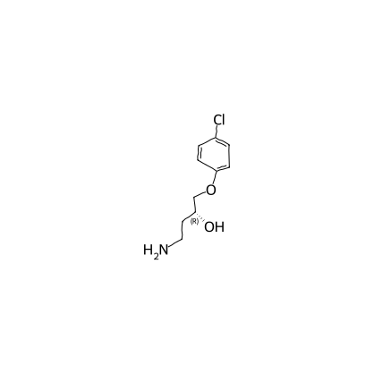 NCC[C@@H](O)COc1ccc(Cl)cc1